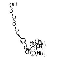 C[C@@H](OCc1ccc(C#CCOCCOCCOCCOCCO)cc1)[C@H](CCC(N)=O)NC(=O)OC(C)(C)C